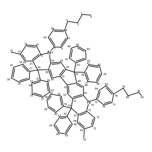 CCCCc1ccc(N2c3ccc(C)cc3C(c3ccccc3)(c3ccccc3)c3cc4c(cc32)C(c2ccccc2)(c2ccccc2)c2cc3c(cc2-4)C(c2ccccc2)(c2ccccc2)c2cc(C)ccc2N3c2ccc(CCCC)cc2)cc1